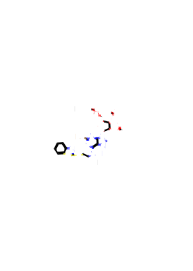 CC(=O)OC[C@H]1O[C@@H](n2cnc3c(N[C@H](C)CSc4nc5ccccc5s4)nc(Br)nc32)C(OC(C)=O)C1OC(C)=O